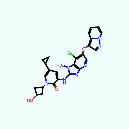 Cn1c(Nc2cc(C3CC3)cn([C@H]3C[C@H](O)C3)c2=O)nc2ncc(Oc3cnn4ccccc34)c(Cl)c21